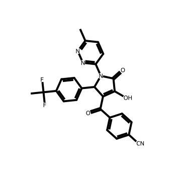 Cc1ccc(N2C(=O)C(O)=C(C(=O)c3ccc(C#N)cc3)C2c2ccc(C(C)(F)F)cc2)nn1